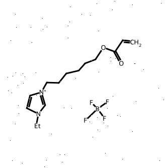 C=CC(=O)OCCCCCC[n+]1ccn(CC)c1.F[B-](F)(F)F